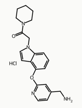 Cl.NCc1ccnc(Oc2cccc3c2ccn3CC(=O)N2CCCCC2)c1